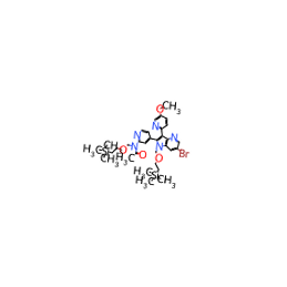 COc1ccc(-c2c(-c3ccnc(N(COCC[Si](C)(C)C)C(C)=O)c3)n(COCC[Si](C)(C)C)c3cc(Br)cnc23)nc1